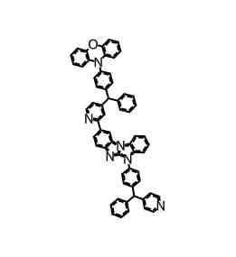 c1ccc(C(c2ccncc2)c2ccc(-n3c4ccccc4n4c5cc(-c6cc(C(c7ccccc7)c7ccc(N8c9ccccc9Oc9ccccc98)cc7)ccn6)ccc5nc34)cc2)cc1